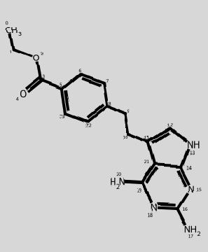 CCOC(=O)c1ccc(CCc2c[nH]c3nc(N)nc(N)c23)cc1